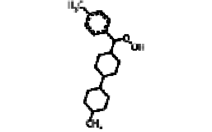 Cc1ccc(C(OO)C2CCC(C3CCC(C)CC3)CC2)cc1